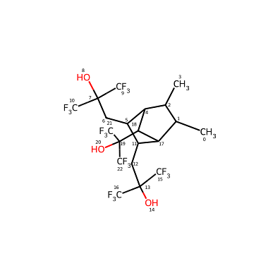 CC1C(C)C2C(CC(O)(C(F)(F)F)C(F)(F)F)C(CC(O)(C(F)(F)F)C(F)(F)F)C1C2C(O)(C(F)(F)F)C(F)(F)F